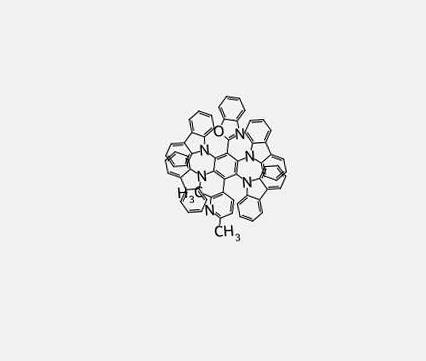 Cc1ccc(-c2c(-n3c4ccccc4c4ccccc43)c(-n3c4ccccc4c4ccccc43)c(-c3nc4ccccc4o3)c(-n3c4ccccc4c4ccccc43)c2-n2c3ccccc3c3ccccc32)c(C)n1